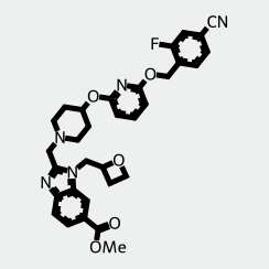 COC(=O)c1ccc2nc(CN3CCC(Oc4cccc(OCc5ccc(C#N)cc5F)n4)CC3)n(CC3CCO3)c2c1